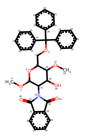 COC1OC(COC(c2ccccc2)(c2ccccc2)c2ccccc2)C(OC)C(O)C1N1C(=O)c2ccccc2C1=O